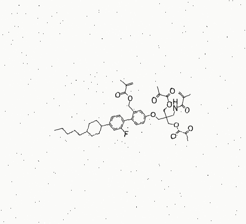 C=C(C)C(=O)NCC(COC(=O)C(C)=O)(COC(=O)C(C)=O)COc1ccc(-c2ccc(C3CCC(CCCCC)CC3)cc2F)c(COC(=O)C(=C)C)c1